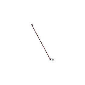 C#CC#CC#CC#CC#CC#CC#CC#CC#CC#CC#CC#CC#CC#CC#CC#CC#CC#CC#CC#CC#CC#CC#CC#CC#N